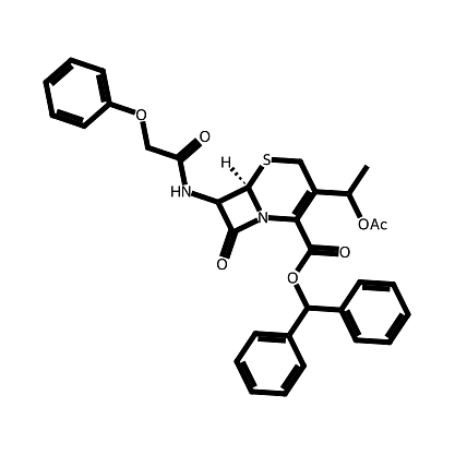 CC(=O)OC(C)C1=C(C(=O)OC(c2ccccc2)c2ccccc2)N2C(=O)C(NC(=O)COc3ccccc3)[C@H]2SC1